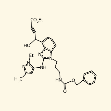 CCOC(=O)C#CC(O)c1cccc2c1nc(Nc1cc(C)nn1CC)n2CCCNC(=O)OCc1ccccc1